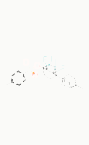 Cc1ccc(S(=O)(=O)OC23CCC(C45CCC(C)(CC4)CC5)(CC2)C(F)(F)C3(F)F)cc1